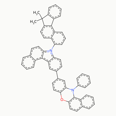 CC1(C)c2ccccc2-c2c1ccc1c(-n3c4ccc(-c5ccc6c(c5)N(c5ccccc5)c5c(ccc7ccccc57)O6)cc4c4c5ccccc5ccc43)cccc21